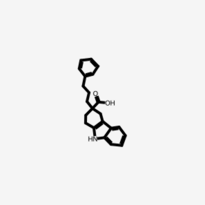 O=C(O)C1(CCCc2ccccc2)CCc2[nH]c3ccccc3c2C1